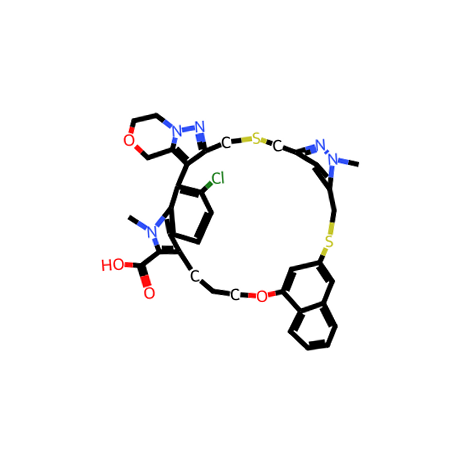 Cn1nc2cc1CSc1cc(c3ccccc3c1)OCCCc1c(C(=O)O)n(C)c3c(c(Cl)ccc13)-c1c(nn3c1COCC3)CSC2